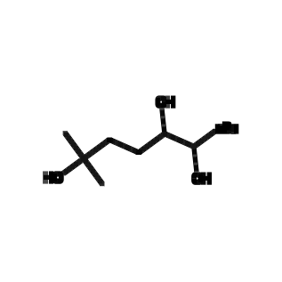 CCCCC(O)C(O)CCC(C)(C)O